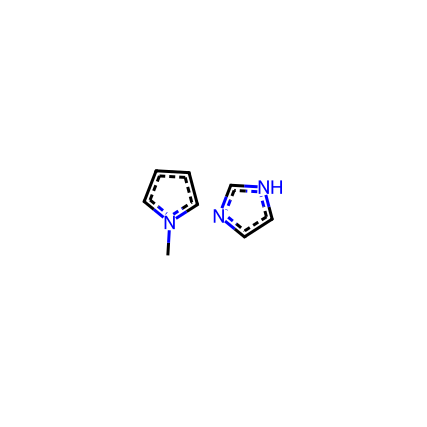 Cn1cccc1.c1c[nH]cn1